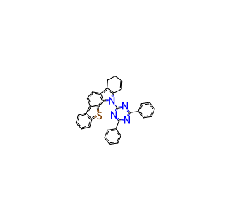 C1=Cc2c(c3ccc4c5ccccc5sc4c3n2-c2nc(-c3ccccc3)nc(-c3ccccc3)n2)CC1